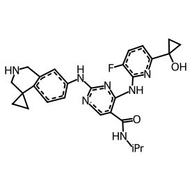 CC(C)NC(=O)c1cnc(Nc2ccc3c(c2)CNCC32CC2)nc1Nc1nc(C2(O)CC2)ccc1F